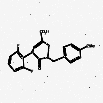 COc1ccc(CN2CC(C(=O)O)=CN(c3c(F)cccc3F)C2=O)cc1